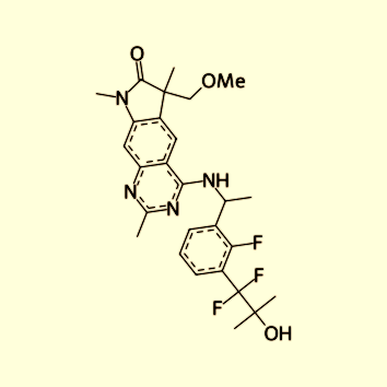 COCC1(C)C(=O)N(C)c2cc3nc(C)nc(NC(C)c4cccc(C(F)(F)C(C)(C)O)c4F)c3cc21